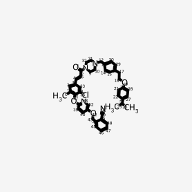 Cc1cc(C=CC(=O)N2CCN(Cc3ccc(CCOc4ccc(C(C)C)cc4)cc3)CC2)cc(Cl)c1Oc1ccc(OCc2ccccc2C#N)cn1